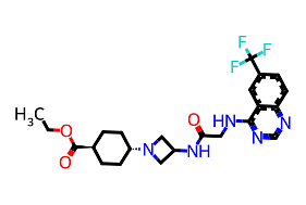 CCOC(=O)[C@H]1CC[C@H](N2CC(NC(=O)CNc3ncnc4ccc(C(F)(F)F)cc34)C2)CC1